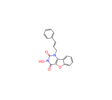 O=c1c2oc3ccccc3c2n(CC=Cc2ccccc2)c(=O)n1O